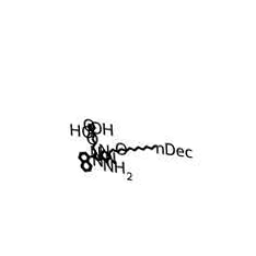 CCCCCCCCCCCCCCCCCCOCCc1nc(N)c2nc(-c3cccc4ccccc34)n(CCOCP(=O)(O)O)c2n1